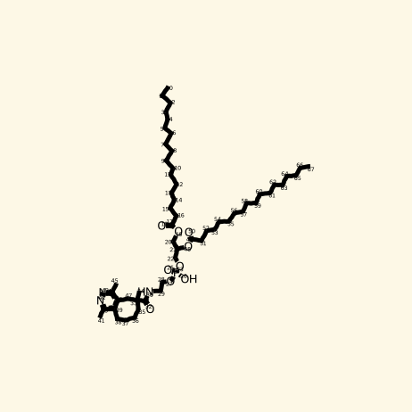 CCCCCCCCCCCCCCCCCC(=O)OCC(COP(=O)(O)OCCNC(=O)C1(C)CCCCc2c(C)nnc(C)c2C1)OC(=O)CCCCCCCCCCCCCCCCC